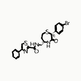 O=C(NC[C@@H]1CCS[C@H](c2ccc(Br)cc2)C(=O)N1)c1nc(-c2ccccc2)cs1